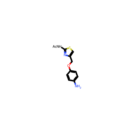 CC(=O)Nc1nc(COc2ccc(N)cc2)cs1